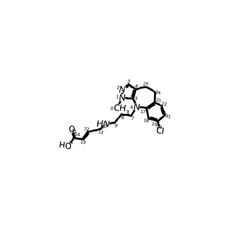 Cn1ncc2c1N(CCCNC/C=C/C(=O)O)c1cc(Cl)ccc1CC2